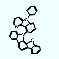 c1ccc(-n2c3cccnc3c3c(-n4c5ccccc5c5ccc6c7ccccc7oc6c54)cccc32)cc1